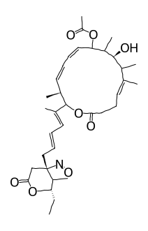 CC[C@@H]1OC(=O)C[C@](C/C=C/C=C(\C)C2OC(=O)CC/C=C(\C)C(C)[C@H](O)C(C)C(OC(C)=O)/C=C\C=C/[C@@H]2C)(N=O)C1C